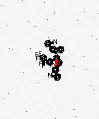 N#Cc1ccccc1-c1ccc2c(c1)c1ccccc1n2-c1ccc(C#N)c(-c2cc(-c3ccc(C(F)(F)F)cc3C(F)(F)F)ccc2-n2c3ccccc3c3cc(-c4ccccc4C#N)ccc32)c1